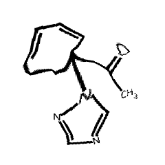 CC(=O)C1(n2cncn2)C=CC=CC1